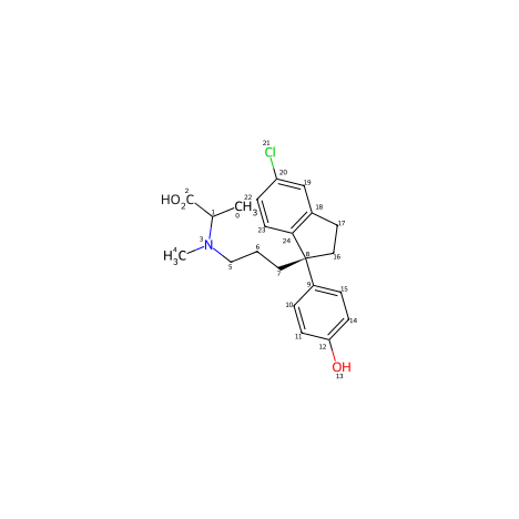 CC(C(=O)O)N(C)CCC[C@]1(c2ccc(O)cc2)CCc2cc(Cl)ccc21